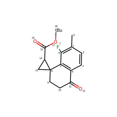 Cc1ccc2c(c1F)C1(CCC2=O)CC1C(=O)OC(C)(C)C